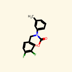 Cc1cccc(N(Cc2ccc(F)c(F)c2)C(=O)O)c1